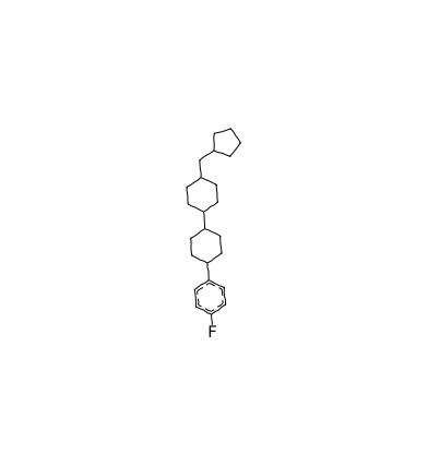 Fc1ccc(C2CCC(C3CCC(CC4CCCC4)CC3)CC2)cc1